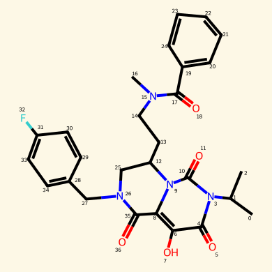 CC(C)n1c(=O)c(O)c2n(c1=O)C(CCN(C)C(=O)c1ccccc1)CN(Cc1ccc(F)cc1)C2=O